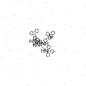 Cc1ccc(C(NCCCC[C@H](NC(=O)[C@@H](NC(=O)OCC2c3ccccc3-c3ccccc32)C(C)C)C(=O)Nc2ccc(CO[Si](c3ccccc3)(c3ccccc3)C(C)(C)C)cc2)(c2ccccc2)c2ccccc2)cc1